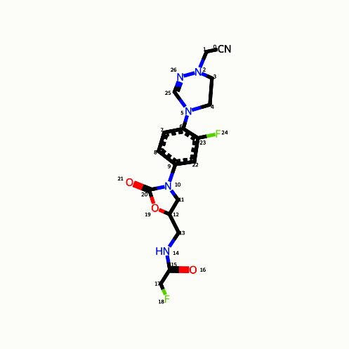 N#CCN1CCN(c2ccc(N3CC(CNC(=O)CF)OC3=O)cc2F)C=N1